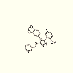 Cc1ccc(O)c(-c2nnc(SCc3cccnc3)n2-c2ccc3c(c2)OCO3)c1